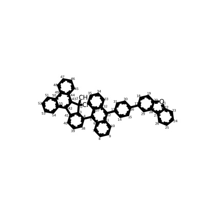 CC1(C)c2c(-c3c4ccccc4c(-c4ccc(-c5ccc6oc7ccccc7c6c5)cc4)c4ccccc34)cccc2-c2c1c1ccccc1c1ccccc21